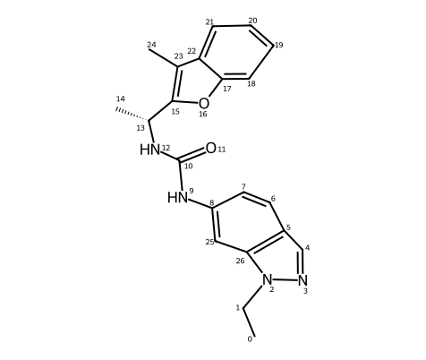 CCn1ncc2ccc(NC(=O)N[C@H](C)c3oc4ccccc4c3C)cc21